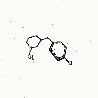 CN1CCCC(Cc2ccc(Cl)cc2)C1